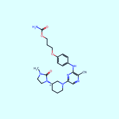 CN1CCN([C@@H]2CCCN(c3cnc(C#N)c(Nc4ccc(OCCCOC(N)=O)cc4)n3)C2)C1=O